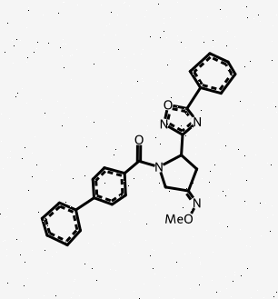 CON=C1CC(c2noc(-c3ccccc3)n2)N(C(=O)c2ccc(-c3ccccc3)cc2)C1